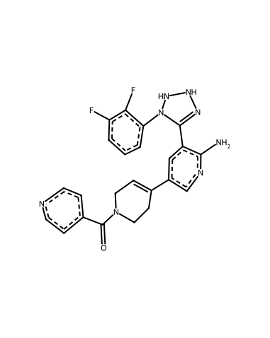 Nc1ncc(C2=CCN(C(=O)c3ccncc3)CC2)cc1C1=NNNN1c1cccc(F)c1F